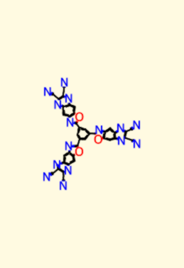 N#Cc1nc2cc3nc(-c4cc(-c5nc6cc7nc(C#N)c(C#N)nc7cc6o5)cc(-c5nc6cc7nc(C#N)c(C#N)nc7cc6o5)c4)oc3cc2nc1C#N